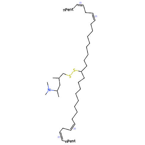 CCCCC/C=C\C/C=C\CCCCCCCCC(CCCCCCCC/C=C\C/C=C\CCCCC)SSCC(C)CC(C)N(C)C